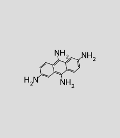 Nc1ccc2c(N)c3cc(N)ccc3c(N)c2c1